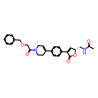 CC(=O)NC[C@H]1C=C(c2ccc(C3=CCN(C(=O)COCc4ccccc4)CC3)cc2)C(=O)O1